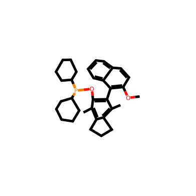 COc1ccc2ccccc2c1-c1c(C)c2c(c(C)c1OP(C1CCCCC1)C1CCCCC1)CCC2